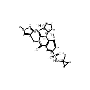 Cn1cc(CN2C(=O)c3cc(S(=O)(=O)NC4(C)CC4)ccc3N3C2=N[C@H]2CCC[C@H]23)cn1